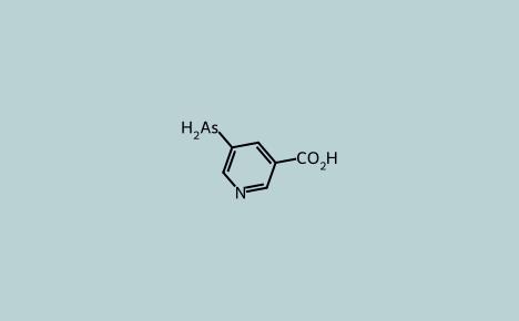 O=C(O)c1cncc([AsH2])c1